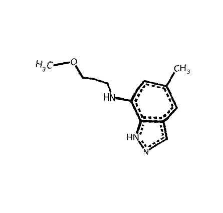 COCCNc1cc(C)cc2cn[nH]c12